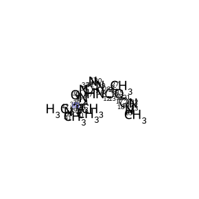 CS[C@@]1(C)CN(c2cc3c(Nc4ccc(Oc5ccc6c(c5)ncn6C)c(C)c4)ncnc3cn2)C(=O)/C1=C/CN(C)C